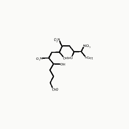 CCCCCCCCC(C(O)CC(C(O)CC(C(O)CCCC=O)[N+](=O)[O-])[N+](=O)[O-])[N+](=O)[O-]